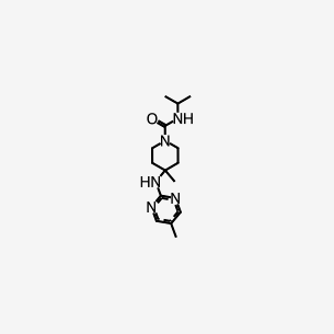 Cc1cnc(NC2(C)CCN(C(=O)NC(C)C)CC2)nc1